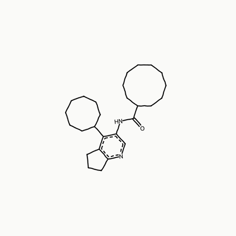 O=C(Nc1cnc2c(c1C1CCCCCCC1)CCC2)C1CCCCCCCCC1